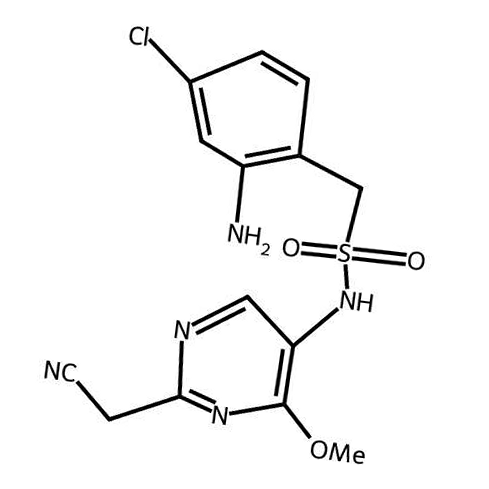 COc1nc(CC#N)ncc1NS(=O)(=O)Cc1ccc(Cl)cc1N